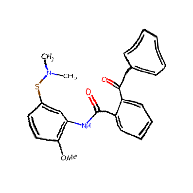 COc1ccc(SN(C)C)cc1NC(=O)c1ccccc1C(=O)c1ccccc1